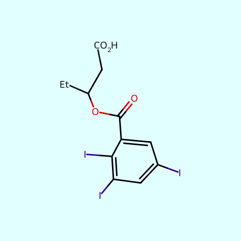 CCC(CC(=O)O)OC(=O)c1cc(I)cc(I)c1I